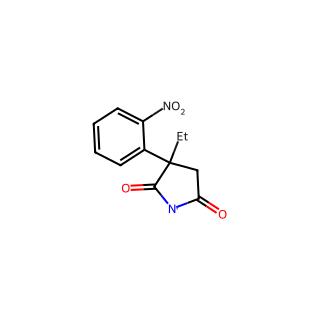 CCC1(c2ccccc2[N+](=O)[O-])CC(=O)[N]C1=O